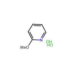 COc1ccccn1.Cl.Cl